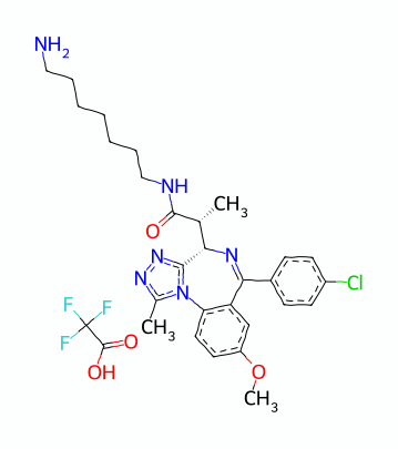 COc1ccc2c(c1)C(c1ccc(Cl)cc1)=N[C@@H]([C@@H](C)C(=O)NCCCCCCCN)c1nnc(C)n1-2.O=C(O)C(F)(F)F